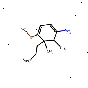 COCCC1(C)C(SC#N)=CC=C(N)C1C